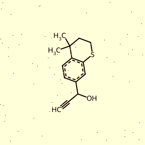 C#CC(O)c1ccc2c(c1)SCCC2(C)C